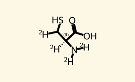 [2H]C(S)[C@@]([2H])(C(=O)O)N([2H])[2H]